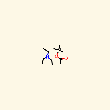 CC(=O)O[Si](C)(C)C.CCN(CC)CC